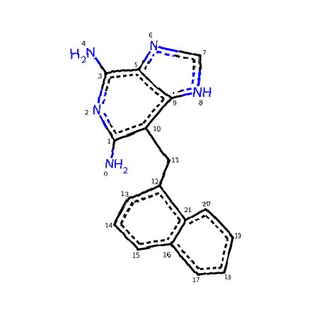 Nc1nc(N)c2nc[nH]c2c1Cc1cccc2ccccc12